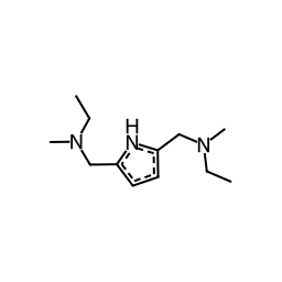 CCN(C)Cc1ccc(CN(C)CC)[nH]1